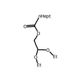 CCCCCCCC(=O)OCC(OCC)OCC